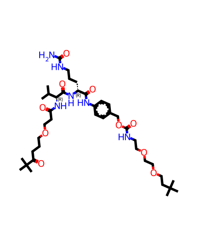 CC(C)[C@@H](NC(=O)CCOCCCC(=O)C(C)(C)C)C(=O)N[C@H](CCCNC(N)=O)C(=O)Nc1ccc(COC(=O)NCCOCCOCCC(C)(C)C)cc1